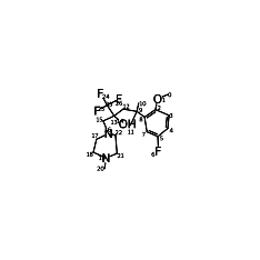 COc1ccc(F)cc1C(C)(C)CC(O)(CN1CCN(C)CC1)C(F)(F)F